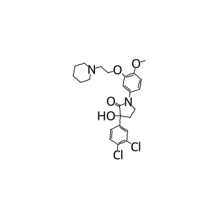 COc1ccc(N2CCC(O)(c3ccc(Cl)c(Cl)c3)C2=O)cc1OCCN1CCCCC1